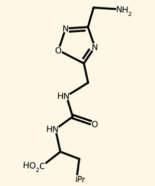 CC(C)CC(NC(=O)NCc1nc(CN)no1)C(=O)O